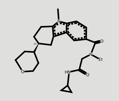 CCN(CC(=O)NC1CC1)C(=O)c1ccc2c(c1)c1c(n2C)CC[C@H](C2CCOCC2)C1